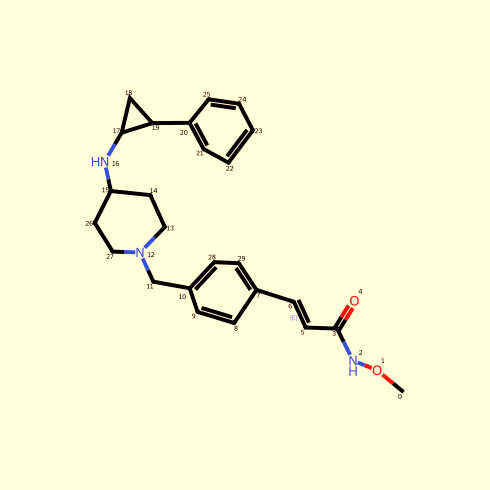 CONC(=O)/C=C/c1ccc(CN2CCC(NC3CC3c3ccccc3)CC2)cc1